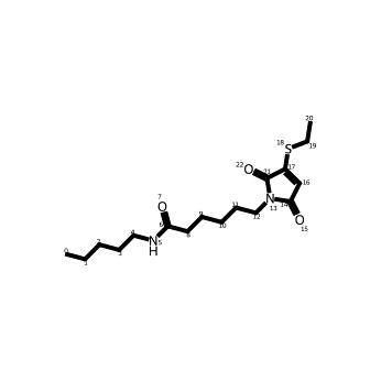 CCCCCNC(=O)CCCCCN1C(=O)C=C(SCC)C1=O